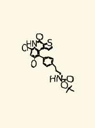 COc1cc(Cl)c2[nH]c(=O)c3sccc3c2c1-c1ccc(CCCNC(=O)OC(C)(C)C)cc1